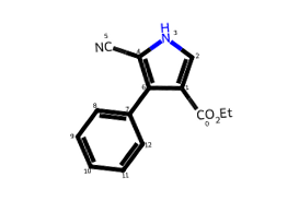 CCOC(=O)c1c[nH]c(C#N)c1-c1ccccc1